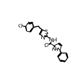 O=C(Nc1ncc(Cc2ccc(Cl)cc2)s1)c1ccn(-c2ccccc2)n1